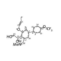 CC#COc1c(C)c(-c2ccc(OC(F)(F)F)cc2)cc(CNC)c1C(O)CO